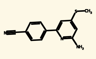 CSc1cc(N)nc(-c2ccc(C#N)cc2)c1